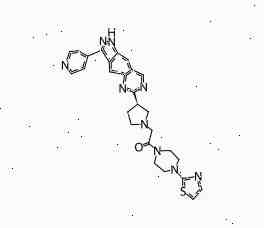 O=C(CN1CC[C@@H](c2ncc3cc4[nH]nc(-c5ccncc5)c4cc3n2)C1)N1CCN(c2nccs2)CC1